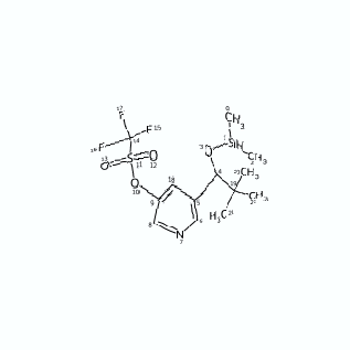 C[SiH](C)OC(c1cncc(OS(=O)(=O)C(F)(F)F)c1)C(C)(C)C